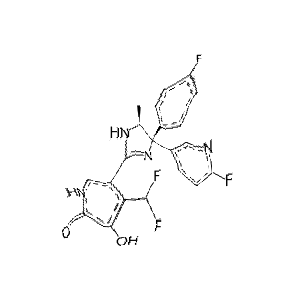 C[C@@H]1NC(c2c[nH]c(=O)c(O)c2C(F)F)=N[C@@]1(c1ccc(F)cc1)c1ccc(F)nc1